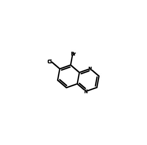 Clc1ccc2nccnc2c1Br